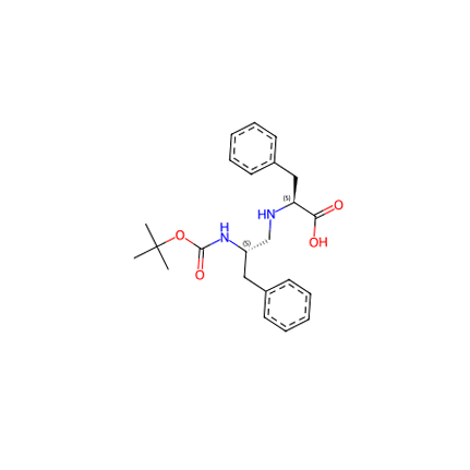 CC(C)(C)OC(=O)N[C@H](CN[C@@H](Cc1ccccc1)C(=O)O)Cc1ccccc1